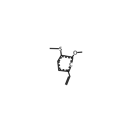 C=Cc1ccc(SC)c(OC)c1